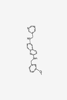 COc1cccc(CNc2ccc3cc(NCc4cccnc4)ccc3n2)c1